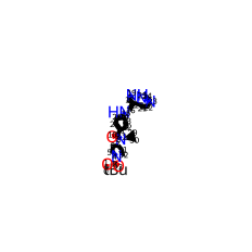 CC(C)(C)OC(=O)N1CCC(N(C(=O)c2ccc(N/C=C(\C=N)c3ccncn3)cc2)C2CC2)CC1